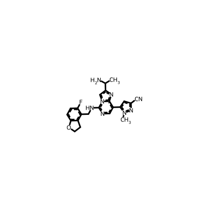 CC(N)c1cn2c(NCc3c(F)ccc4c3CCO4)ncc(-c3cc(C#N)nn3C)c2n1